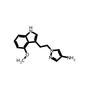 COc1cccc2[nH]cc(CCn3cc(N)cn3)c12